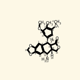 COc1cc([C@@H]2c3cc4c(cc3[C@@H](N)[C@H]3COC(=O)[C@H]23)OCO4)cc(OC)c1C